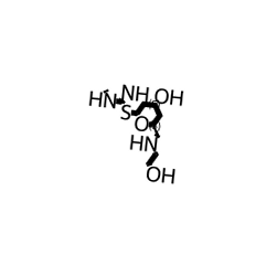 CNC(=N)SC1C[C@@H](O)C[C@@H](CNCCO)O1